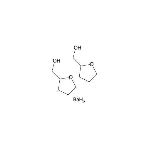 OCC1CCCO1.OCC1CCCO1.[BaH2]